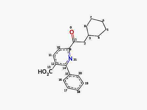 O=C(CC1CCCCC1)c1ccc(C(=O)O)c(-c2ccccc2)n1